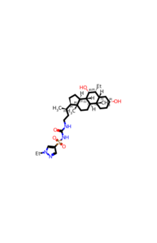 CC[C@H]1[C@@H](O)[C@@H]2[C@H](CC[C@]3(C)[C@@H]([C@H](C)CCNC(=O)NS(=O)(=O)c4cnn(CC)c4)CC[C@@H]23)[C@@]2(C)CC[C@@H](O)C[C@@H]12